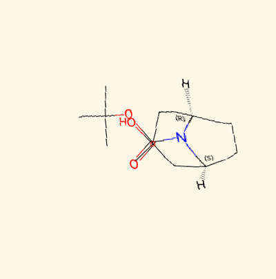 CC1(O)C[C@H]2CC[C@@H](C1)N2C(=O)OC(C)(C)C